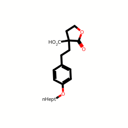 CCCCCCCOc1ccc(CCC2(C(=O)O)CCOC2=O)cc1